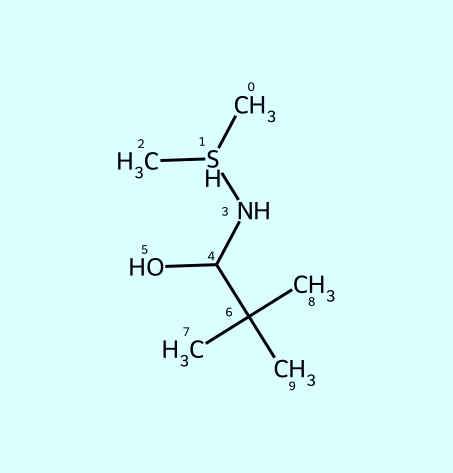 C[SH](C)NC(O)C(C)(C)C